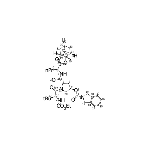 CCC[C@H](NC(=O)[C@@H]1C[C@@H](OC(=O)N2Cc3ccccc3C2)CN1C(=O)[C@@H](NC(=O)OCC)C(C)(C)C)B1O[C@@H]2C[C@@H]3C[C@@H](C3(C)C)[C@]2(C)O1